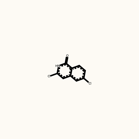 O=c1[nH]c(Cl)cc2cc(Cl)ccc12